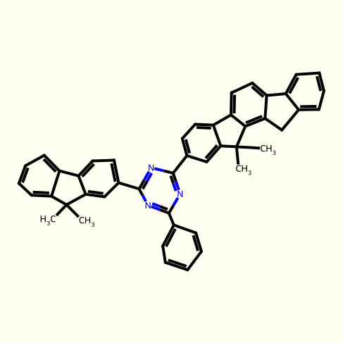 CC1(C)c2ccccc2-c2ccc(-c3nc(-c4ccccc4)nc(-c4ccc5c(c4)C(C)(C)c4c-5ccc5c4Cc4ccccc4-5)n3)cc21